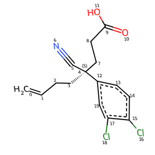 C=CCC[C@](C#N)(CCC(=O)O)c1ccc(Cl)c(Cl)c1